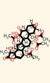 CC(=O)O[C@@H]1[C@H]2[C@H]3C([C@H](OC(C)=O)[C@H](OC(C)=O)[C@]2(C)[C@@H]2[C@@H]1[C@]1(C)C(=C[C@H]2C)OC(=O)[C@@]1(C)O)[C@]1(C)[C@H](C[C@@H]2O[C@@H]2[C@@H]1OC(C)=O)C(=O)C3(O)O